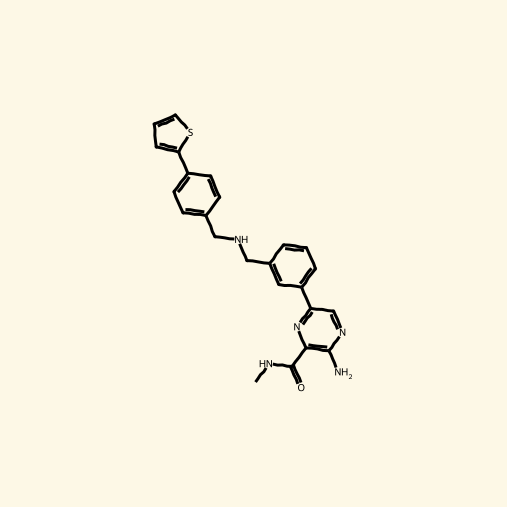 CNC(=O)c1nc(-c2cccc(CNCc3ccc(-c4cccs4)cc3)c2)cnc1N